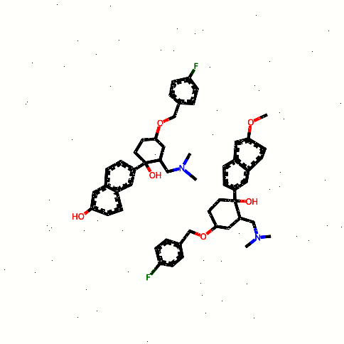 CN(C)CC1CC(OCc2ccc(F)cc2)CCC1(O)c1ccc2cc(O)ccc2c1.COc1ccc2cc(C3(O)CCC(OCc4ccc(F)cc4)CC3CN(C)C)ccc2c1